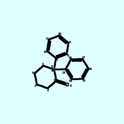 O=C1CCCC[Si]1(c1ccccc1)c1ccccc1